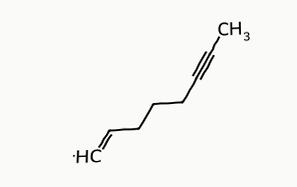 [CH]=CCCCC#CC